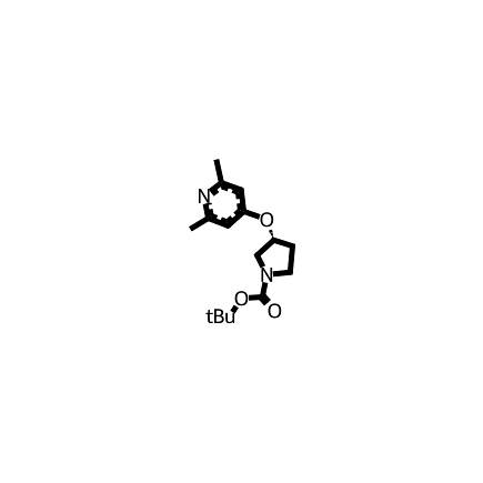 Cc1cc(O[C@@H]2CCN(C(=O)OC(C)(C)C)C2)cc(C)n1